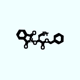 CC(C)C[C@H](ON1C(=O)c2ccccc2C1=O)C(=O)OCc1ccccc1